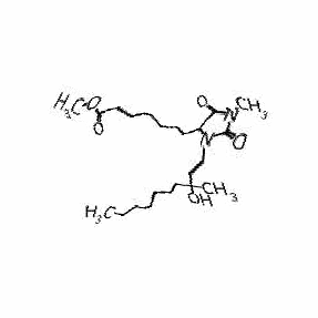 CCCCCCCC(C)(O)CCN1C(=O)N(C)C(=O)C1CCCCCCC(=O)OC